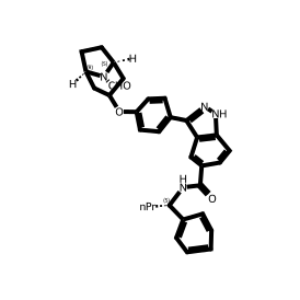 CCC[C@H](NC(=O)c1ccc2[nH]nc(-c3ccc(OC4C[C@H]5CC[C@@H](C4)N5C=O)cc3)c2c1)c1ccccc1